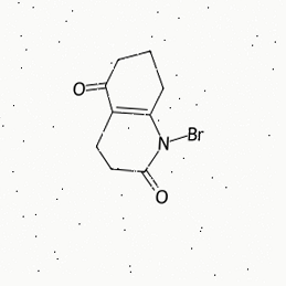 O=C1CCCC2=C1CCC(=O)N2Br